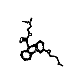 CSCCOc1ccc2c(C(=O)OCCN(C)C)c3ccccc3n2c1